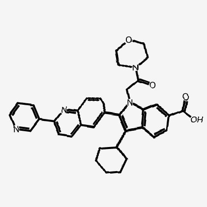 O=C(O)c1ccc2c(C3CCCCC3)c(-c3ccc4nc(-c5cccnc5)ccc4c3)n(CC(=O)N3CCOCC3)c2c1